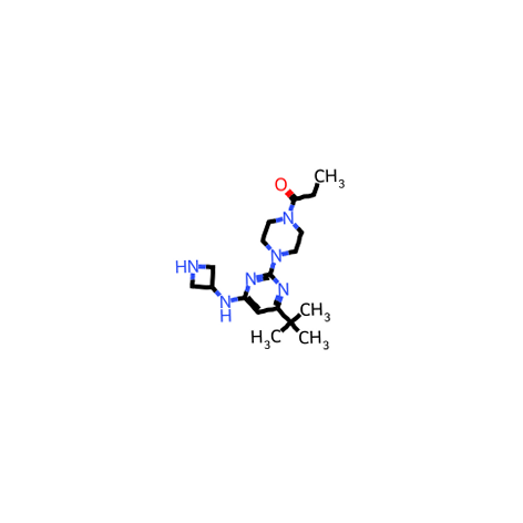 CCC(=O)N1CCN(c2nc(NC3CNC3)cc(C(C)(C)C)n2)CC1